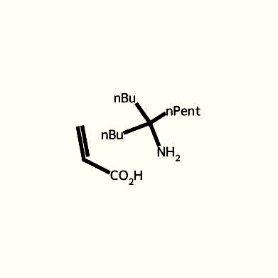 C=CC(=O)O.CCCCCC(N)(CCCC)CCCC